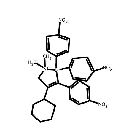 C[N+]1(C)CC(C2CCCCC2)=C(c2ccc([N+](=O)[O-])cc2)[B-]1(c1ccc([N+](=O)[O-])cc1)c1ccc([N+](=O)[O-])cc1